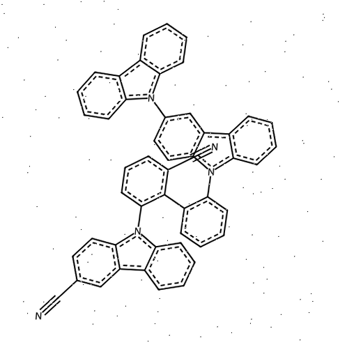 N#Cc1ccc2c(c1)c1ccccc1n2-c1cccc(C#N)c1-c1ccccc1-n1c2ccccc2c2cc(-n3c4ccccc4c4ccccc43)ccc21